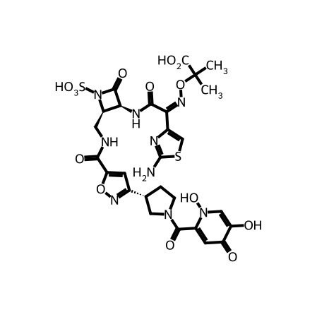 CC(C)(O/N=C(\C(=O)N[C@@H]1C(=O)N(S(=O)(=O)O)[C@@H]1CNC(=O)c1cc([C@@H]2CCN(C(=O)c3cc(=O)c(O)cn3O)C2)no1)c1csc(N)n1)C(=O)O